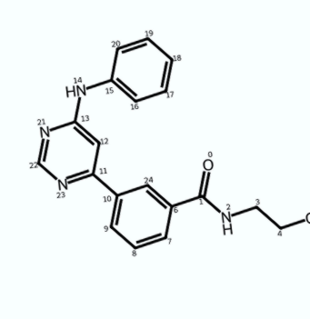 O=C(NCCO)c1cccc(-c2cc(Nc3ccccc3)ncn2)c1